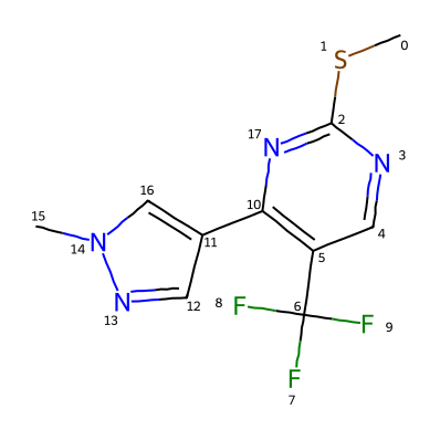 CSc1ncc(C(F)(F)F)c(-c2cnn(C)c2)n1